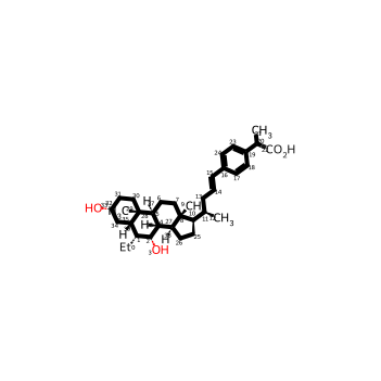 CC[C@H]1[C@@H](O)[C@@H]2[C@H](CC[C@]3(C)[C@@H]([C@H](C)C/C=C/c4ccc(C(C)C(=O)O)cc4)CC[C@@H]23)[C@@]2(C)CC[C@@H](O)C[C@@H]12